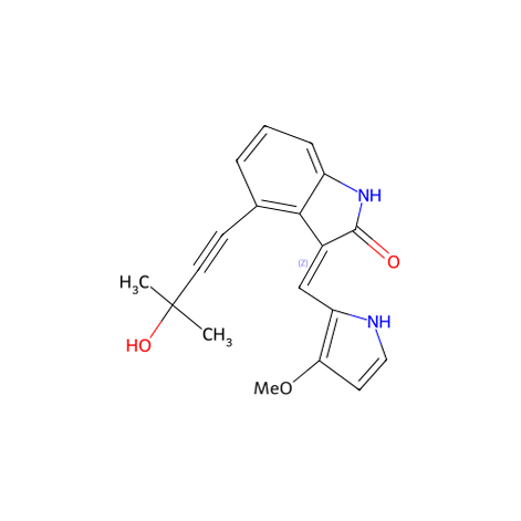 COc1cc[nH]c1/C=C1\C(=O)Nc2cccc(C#CC(C)(C)O)c21